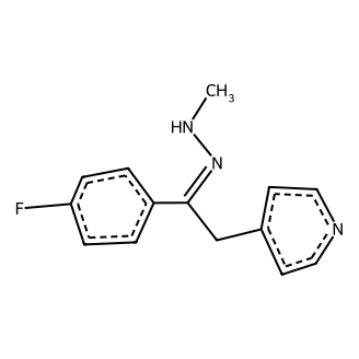 CNN=C(Cc1ccncc1)c1ccc(F)cc1